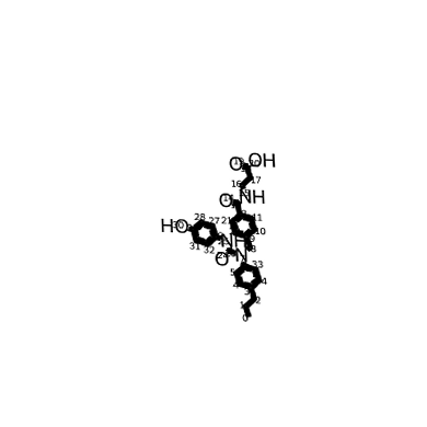 CCCc1ccc(N(Cc2ccc(C(=O)NCCC(=O)O)cc2)C(=O)Nc2ccc(O)cc2)cc1